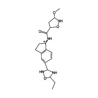 CCC1NC(c2ccc3c(c2)CC[C@H]3NC(=O)C2CC(OC)NO2)NO1